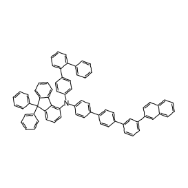 c1ccc(-c2ccccc2-c2ccc(N(c3ccc(-c4ccc(-c5cccc(-c6ccc7ccccc7c6)c5)cc4)cc3)c3cccc4c3-c3ccccc3C4(c3ccccc3)c3ccccc3)cc2)cc1